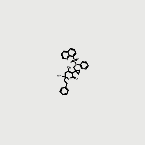 CCCC1(CCc2ccccc2)CC(O)=C(C2(CN(c3ccccc3)S(=O)(=O)c3cccc4cccnc34)CC2)C(=O)O1